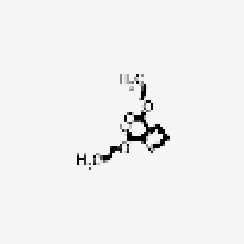 C=CCOC(=O)c1cccnc1C(=O)OCC=C